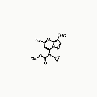 CC(C)(C)OC(=O)N(c1cc(S)nc2c(C=O)cnn12)C1CC1